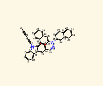 CC#CC#Cn1c2ccccc2c2cc(/C=N\N(c3ccc4ccccc4c3)c3ccc4ccccc4c3)ccc21